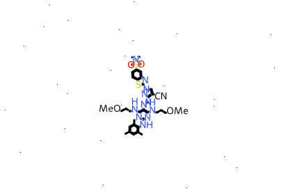 COCCCNc1nc(Nc2c(C)cc(C)cc2C)nc(NCCCOC)c1N=Nc1nn(-c2nc3cc(S(=O)(=O)N(C)C)ccc3s2)cc1C#N